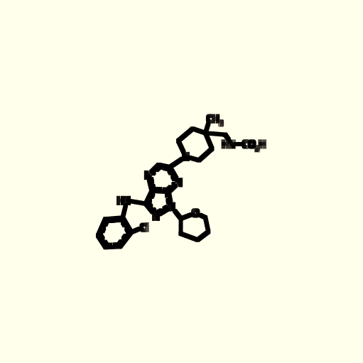 CC1(CNC(=O)O)CCN(c2cnc3c(Nc4ccccc4Cl)nn(C4CCCCO4)c3n2)CC1